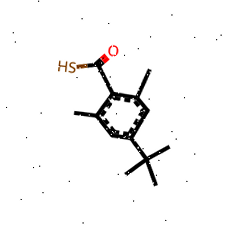 Cc1cc(C(C)(C)C)cc(C)c1C(=O)S